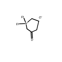 CC[N+]1(CC)CCCC(=O)C1.[Cl-]